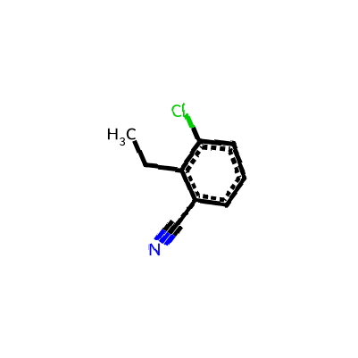 CCc1c(Cl)cccc1C#N